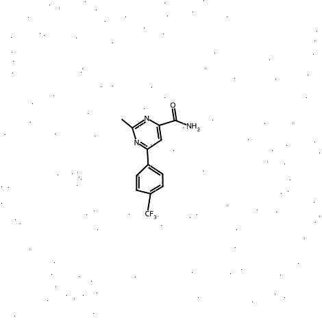 Cc1nc(C(N)=O)cc(-c2ccc(C(F)(F)F)cc2)n1